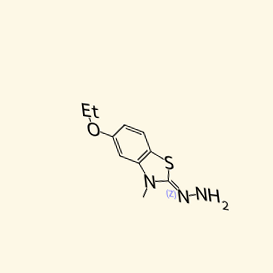 CCOc1ccc2s/c(=N\N)n(C)c2c1